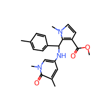 COC(=O)c1ccn(C)c1C(Nc1cc(C)c(=O)n(C)c1)c1ccc(C)cc1